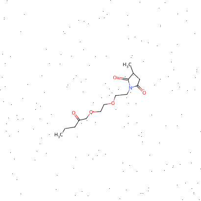 CCCC(=O)COCCOCCN1C(=O)CC(C)C1=O